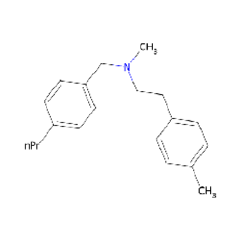 CCCc1ccc(CN(C)CCc2ccc(C)cc2)cc1